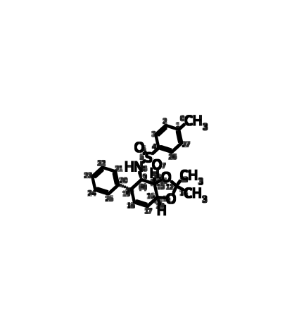 Cc1ccc(S(=O)(=O)N[C@H]2[C@@H]3OC(C)(C)O[C@@H]3C=C[C@@H]2c2ccccc2)cc1